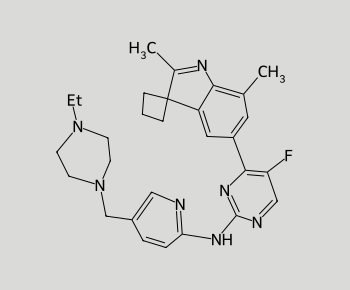 CCN1CCN(Cc2ccc(Nc3ncc(F)c(-c4cc(C)c5c(c4)C4(CCC4)C(C)=N5)n3)nc2)CC1